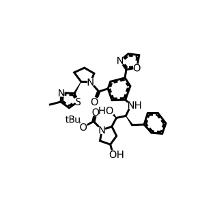 Cc1csc([C@H]2CCCN2C(=O)c2cc(N[C@@H](Cc3ccccc3)[C@H](O)C3CC(O)CN3C(=O)OC(C)(C)C)cc(-c3ncco3)c2)n1